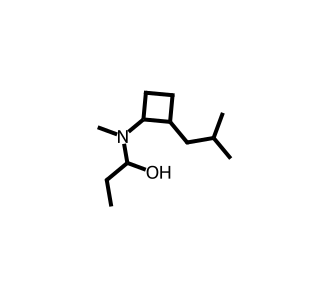 CCC(O)N(C)C1CCC1CC(C)C